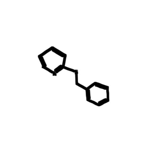 [c]1cccc(SCc2ccccc2)n1